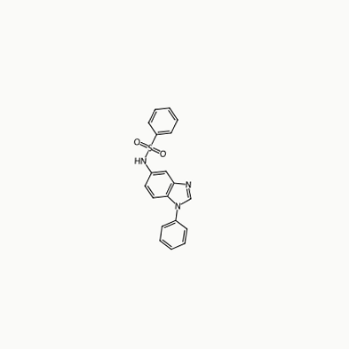 O=S(=O)(Nc1ccc2c(c1)ncn2-c1ccccc1)c1ccccc1